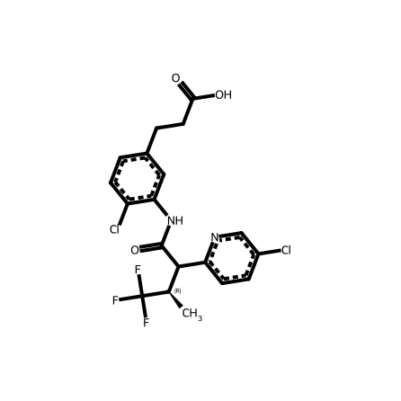 C[C@H](C(C(=O)Nc1cc(CCC(=O)O)ccc1Cl)c1ccc(Cl)cn1)C(F)(F)F